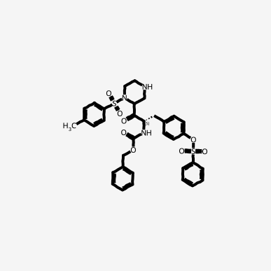 Cc1ccc(S(=O)(=O)N2CCNCC2C(=O)[C@H](Cc2ccc(OS(=O)(=O)c3ccccc3)cc2)NC(=O)OCc2ccccc2)cc1